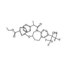 CCOC(=O)c1cccc(OC2CCc3cc(C(O)(C(F)(F)F)C(F)(F)F)ccc3N(C(=O)C(C)c3ccccc3)C2)c1